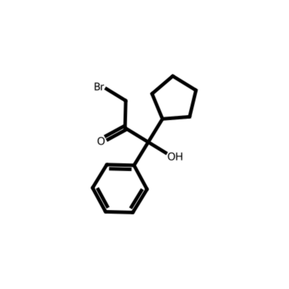 O=C(CBr)C(O)(c1ccccc1)C1CCCC1